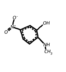 CNc1ccc([N+](=O)[O-])cc1O